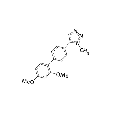 COc1ccc(-c2ccc(-c3cnnn3C)cc2)c(OC)c1